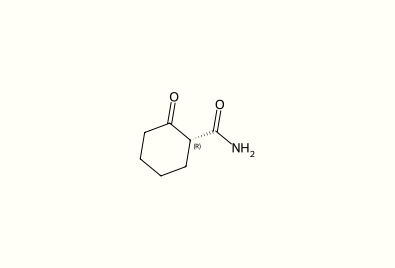 NC(=O)[C@@H]1CCCCC1=O